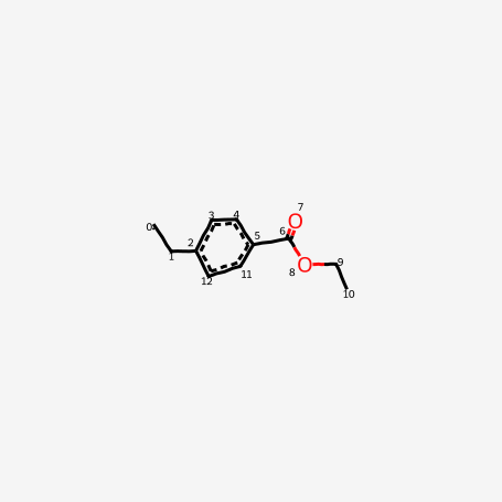 [CH2]Cc1ccc(C(=O)OCC)cc1